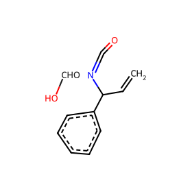 C=CC(N=C=O)c1ccccc1.O=CO